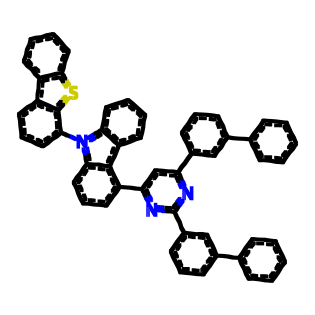 c1ccc(-c2cccc(-c3cc(-c4cccc5c4c4ccccc4n5-c4cccc5c4sc4ccccc45)nc(-c4cccc(-c5ccccc5)c4)n3)c2)cc1